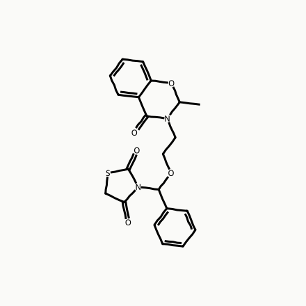 CC1Oc2ccccc2C(=O)N1CCOC(c1ccccc1)N1C(=O)CSC1=O